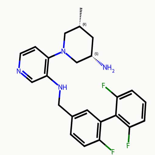 C[C@@H]1C[C@H](N)CN(c2ccncc2NCc2ccc(F)c(-c3c(F)cccc3F)c2)C1